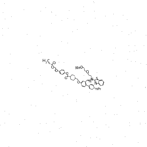 C=CC(=O)OCOc1ccc(OC(=O)C2CCC(COc3ccc(C4=CCC(CCC)C=C4)c(/C=N/N(CCOCCOC)c4nc5ccccc5s4)c3)CC2)cc1